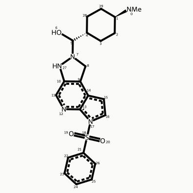 CN[C@H]1CC[C@H](C(O)N2Cc3c(cnc4c3ccn4S(=O)(=O)c3ccccc3)N2)CC1